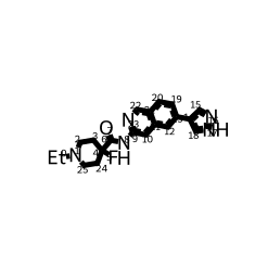 CCN1CCC(F)(C(=O)Nc2cc3cc(-c4cn[nH]c4)ccc3cn2)CC1